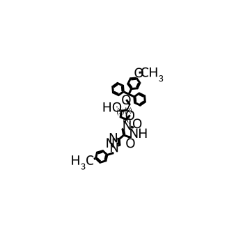 COc1ccc(C(OC[C@H]2O[C@@H](n3cc(-c4cn(Cc5ccc(C)cc5)nn4)c(=O)[nH]c3=O)C[C@@H]2O)(c2ccccc2)c2ccccc2)cc1